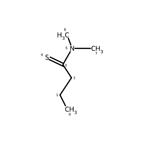 CCCC(=S)N(C)C